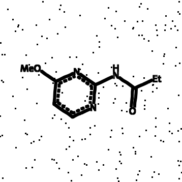 CCC(=O)Nc1nccc(OC)n1